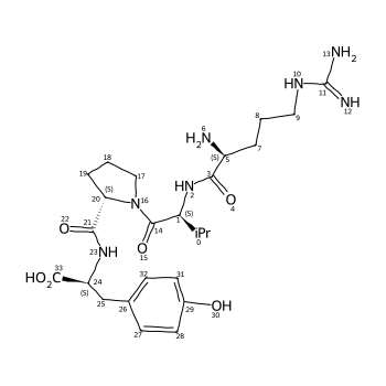 CC(C)[C@H](NC(=O)[C@@H](N)CCCNC(=N)N)C(=O)N1CCC[C@H]1C(=O)N[C@@H](Cc1ccc(O)cc1)C(=O)O